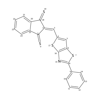 S=C1C(=Cc2cc3sc(-c4ccccc4)nc3s2)C(=S)c2ccccc21